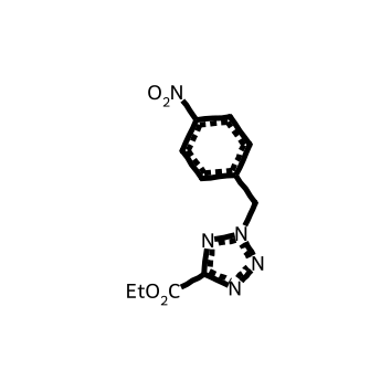 CCOC(=O)c1nnn(Cc2ccc([N+](=O)[O-])cc2)n1